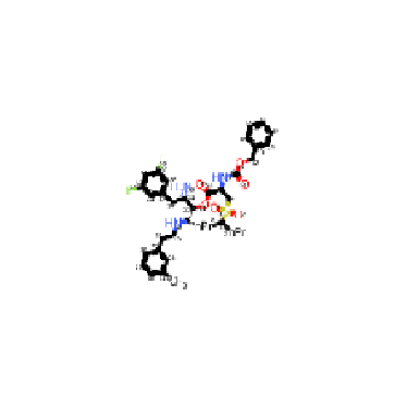 CCCC(CCC)S(=O)(=O)CC(NC(=O)OCc1ccccc1)C(=O)O[C@H](CNCCc1cccc(C(F)(F)F)c1)[C@@H](N)Cc1cc(F)cc(F)c1